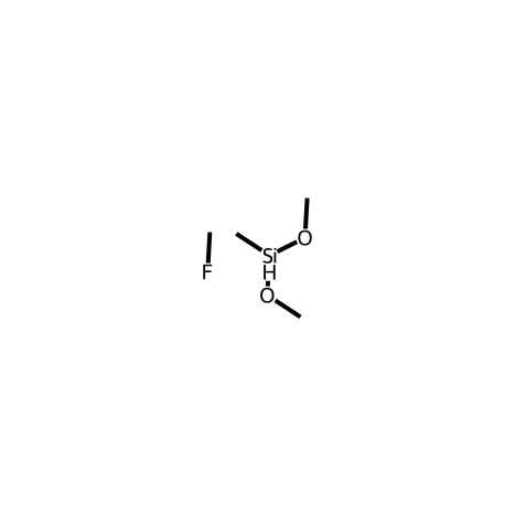 CF.CO[SiH](C)OC